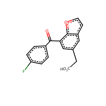 O=C(O)Cc1cc(C(=O)c2ccc(F)cc2)c2occc2c1